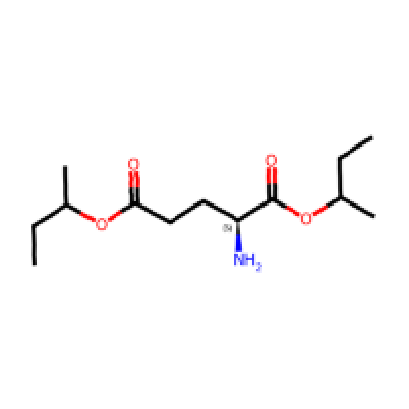 CCC(C)OC(=O)CC[C@H](N)C(=O)OC(C)CC